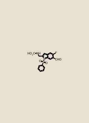 O=Cc1cc2c(cc1F)cc(CNC(=O)O)n2S(=O)(=O)c1ccccc1